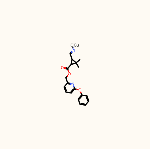 CC(C)CON=CC1C(C(=O)OCc2cccc(Oc3ccccc3)n2)C1(C)C